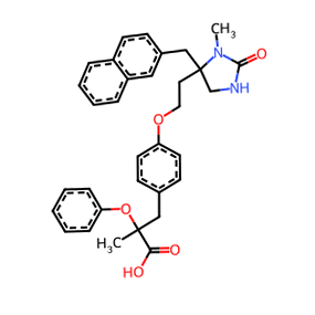 CN1C(=O)NCC1(CCOc1ccc(CC(C)(Oc2ccccc2)C(=O)O)cc1)Cc1ccc2ccccc2c1